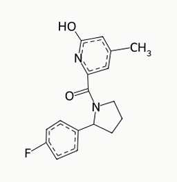 Cc1cc(O)nc(C(=O)N2CCCC2c2ccc(F)cc2)c1